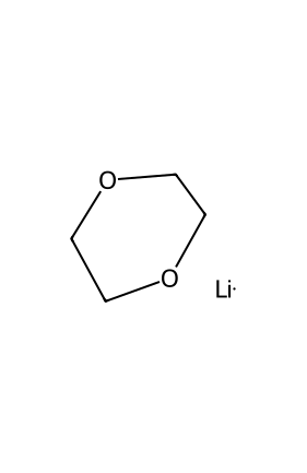 C1COCCO1.[Li]